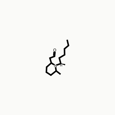 CCCCC[C@@H](C)N1C(C)CCCC1CC=O